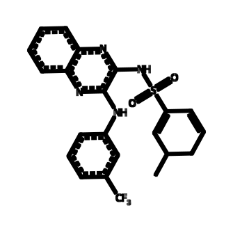 CC1C=C(S(=O)(=O)Nc2nc3ccccc3nc2Nc2cccc(C(F)(F)F)c2)C=CC1